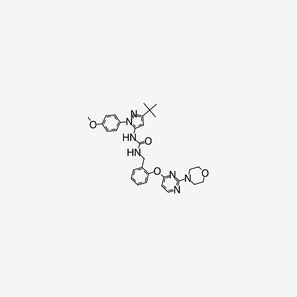 COc1ccc(-n2nc(C(C)(C)C)cc2NC(=O)NCc2ccccc2Oc2ccnc(N3CCOCC3)n2)cc1